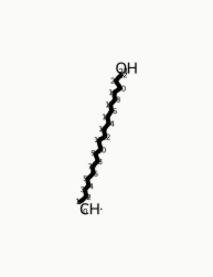 [CH]=CCCCCCCCCCCCCCCCCCCCCCO